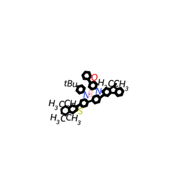 CC(C)(C)c1ccc(N2B3c4cc5c(cc4-n4c6cc7c(cc6c6ccc(c3c64)-c3cc4sc6cc8c(cc6c4cc32)C(C)(C)CCC8(C)C)-c2ccccc2C7(C)C)oc2ccccc25)cc1